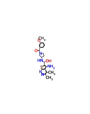 COc1cccc(C(=O)N2CCC(NC(O)c3sc4nnc(C)c(C)c4c3N)C2)c1